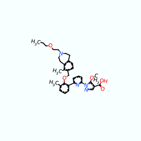 CCCOCCN1CCc2ccc(COc3c(C)cccc3-c3cccc(-n4ncc(C(=O)O)c4OC)n3)c(C)c2CC1